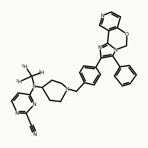 [2H]C([2H])([2H])N(c1ccnc(C#N)n1)C1CCN(Cc2ccc(-c3nc4n(c3-c3ccccc3)COc3ccncc3-4)cc2)CC1